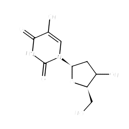 [11CH3]c1cn([C@H]2CC(O)[C@@H](CO)O2)c(=O)[nH]c1=O